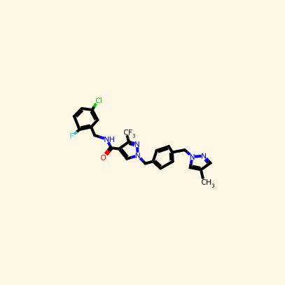 Cc1cnn(Cc2ccc(Cn3cc(C(=O)NCc4cc(Cl)ccc4F)c(C(F)(F)F)n3)cc2)c1